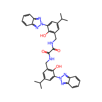 CC(C)c1cc(CNC(=O)C(=O)NCc2cc(C(C)C)cc(-n3nc4ccccc4n3)c2O)c(O)c(-n2nc3ccccc3n2)c1